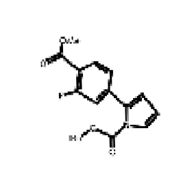 COC(=O)c1ccc(-c2cccn2C(=O)OC(C)(C)C)cc1F